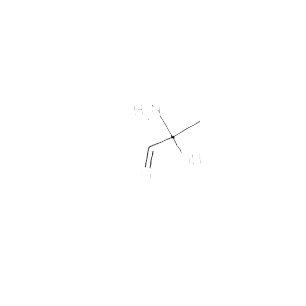 CC(N)(O)C=O